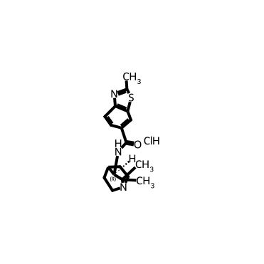 Cc1nc2ccc(C(=O)N[C@@H]3C4CCN(CC4)C3(C)C)cc2s1.Cl